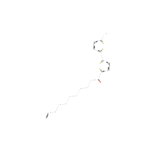 C=CCCCCCCCCC(=O)c1ccc(-c2ccc(Br)s2)s1